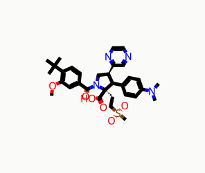 COc1cc(C(=O)N2C[C@@H](c3cnccn3)C(c3ccc(N(C)C)cc3)[C@@]2(CCS(C)(=O)=O)C(=O)O)ccc1C(C)(C)C